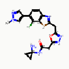 CC(=O)n1cc(-c2ccc3nc(Cc4nnc(CC(=O)NC5(N)CC5)o4)sc3c2F)cn1